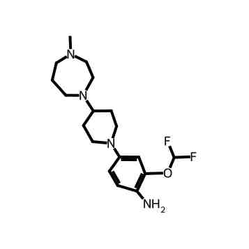 CN1CCCN(C2CCN(c3ccc(N)c(OC(F)F)c3)CC2)CC1